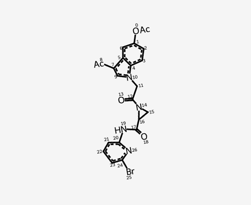 CC(=O)Oc1ccc2c(c1)c(C(C)=O)cn2CC(=O)N1CC1C(=O)Nc1cccc(Br)n1